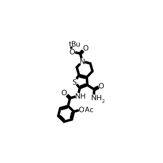 CC(=O)Oc1ccccc1C(=O)Nc1sc2c(c1C(N)=O)CCN(C(=O)OC(C)(C)C)C2